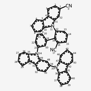 N#Cc1ccc2c3ccccc3n(-c3cccc(C#N)c3-c3cccc(-n4c5ccccc5c5ccc(-n6c7ccccc7c7ccccc76)cc54)c3)c2c1